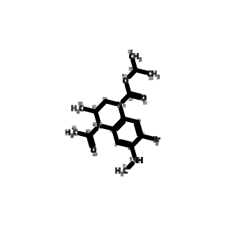 CNc1cc2c(cc1Br)N(C(=O)OC(C)C)CC(C)N2C(C)=O